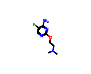 CN(C)CCOc1ncc(F)c(N)n1